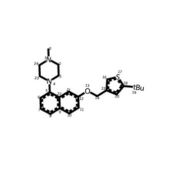 CN1CCN(c2cccc3ccc(OCc4csc(C(C)(C)C)c4)cc23)CC1